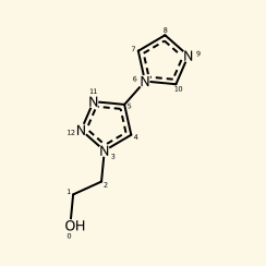 OCCn1cc(-n2ccnc2)nn1